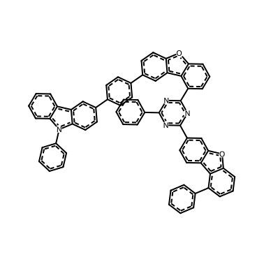 c1ccc(-c2nc(-c3ccc4c(c3)oc3cccc(-c5ccccc5)c34)nc(-c3cccc4oc5ccc(-c6ccc(-c7ccc8c(c7)c7ccccc7n8-c7ccccc7)cc6)cc5c34)n2)cc1